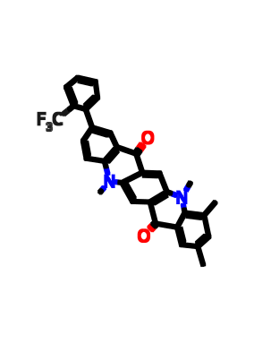 Cc1cc(C)c2c(c1)c(=O)c1cc3c(cc1n2C)c(=O)c1cc(-c2ccccc2C(F)(F)F)ccc1n3C